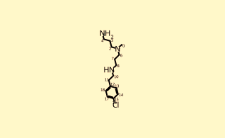 CN(CCCN)CCCNCCc1ccc(Cl)cc1